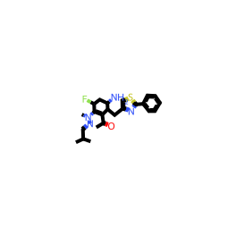 CC(=O)C1=C(N(C)/N=C/C(C)C)C(F)CC(N)C1Cc1csc(-c2ccccc2)n1